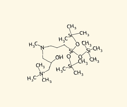 CN(CCC[Si](O[Si](C)(C)C)(O[Si](C)(C)C)O[Si](C)(C)C)CC(O)C[N+](C)(C)C